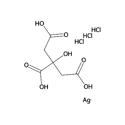 Cl.Cl.Cl.O=C(O)CC(O)(CC(=O)O)C(=O)O.[Ag]